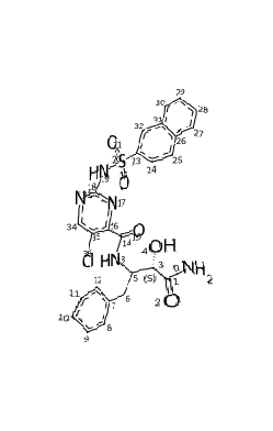 NC(=O)[C@@H](O)C(Cc1ccccc1)NC(=O)c1nc(NS(=O)(=O)c2ccc3ccccc3c2)ncc1Cl